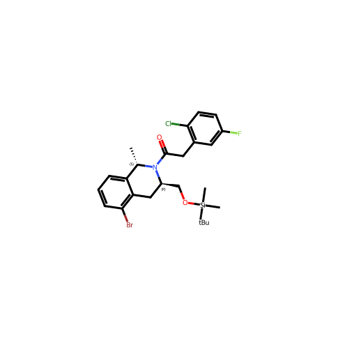 C[C@H]1c2cccc(Br)c2C[C@H](CO[Si](C)(C)C(C)(C)C)N1C(=O)Cc1cc(F)ccc1Cl